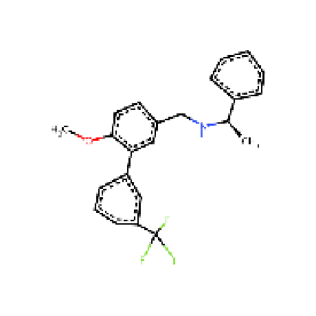 COc1ccc(CN[C@H](C)c2ccccc2)cc1-c1cccc(C(F)(F)F)c1